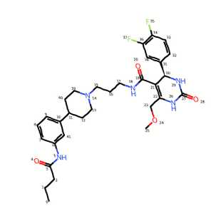 CCCC(=O)Nc1cccc(C2CCN(CCCNC(=O)C3=C(COC)NC(=O)N[C@@H]3c3ccc(F)c(F)c3)CC2)c1